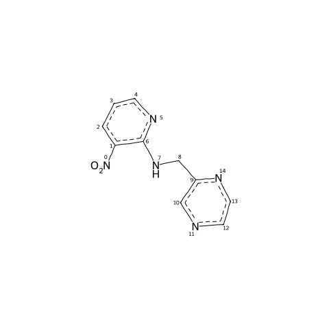 O=[N+]([O-])c1cccnc1NCc1cnccn1